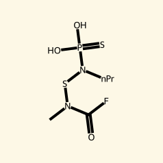 CCCN(SN(C)C(=O)F)P(O)(O)=S